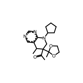 CC(=O)C1(C2(C)OCCO2)CN(C2CCCC2)c2ncncc2C1C